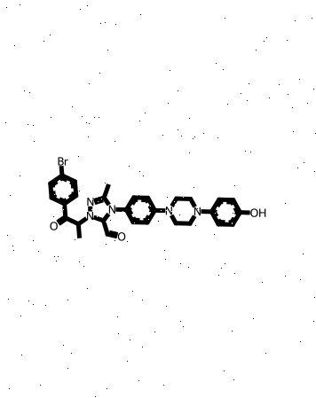 CC1=NN(C(C)C(=O)c2ccc(Br)cc2)C(C=O)N1c1ccc(N2CCN(c3ccc(O)cc3)CC2)cc1